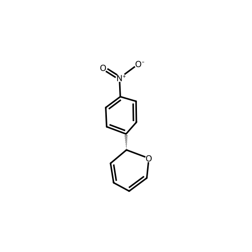 O=[N+]([O-])c1ccc([C@H]2C=CC=CO2)cc1